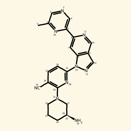 Cc1cncc(-c2cc3c(cn2)cnn3-c2ccc(C#N)c(N3CCC[C@H](N)C3)n2)n1